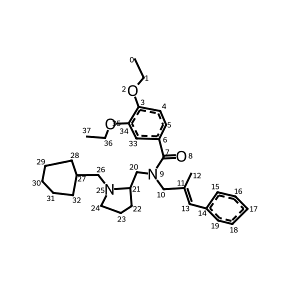 CCOc1ccc(C(=O)N(C/C(C)=C/c2ccccc2)CC2CCCN2CC2CCCCC2)cc1OCC